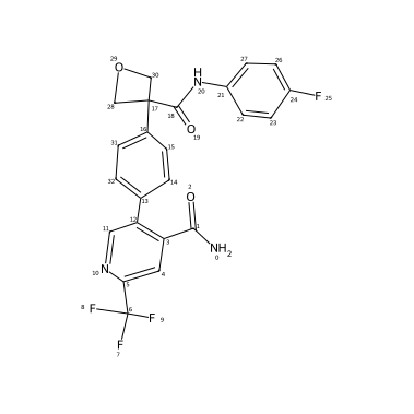 NC(=O)c1cc(C(F)(F)F)ncc1-c1ccc(C2(C(=O)Nc3ccc(F)cc3)COC2)cc1